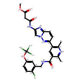 COC(=O)CC(=O)Nc1cn2nc(-c3cc(C(=O)NCc4cc(OC(F)(F)F)ccc4F)c(C)nc3C)ccc2n1